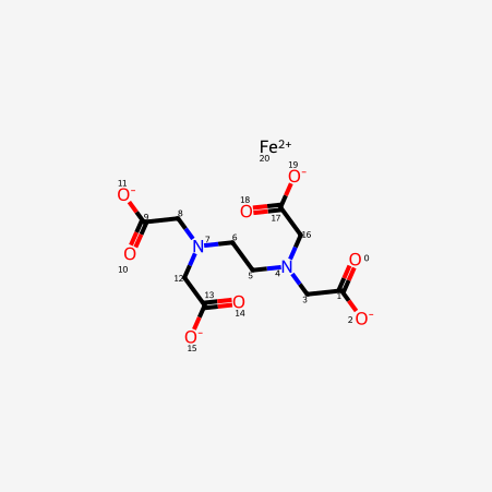 O=C([O-])CN(CCN(CC(=O)[O-])CC(=O)[O-])CC(=O)[O-].[Fe+2]